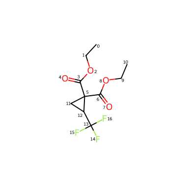 CCOC(=O)C1(C(=O)OCC)CC1C(F)(F)F